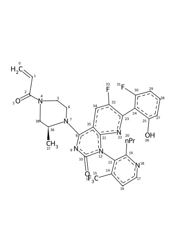 C=CC(=O)N1CCN(c2nc(=O)n(-c3c(C(F)(F)F)ccnc3CCC)c3nc(-c4c(O)cccc4F)c(F)cc23)[C@@H](C)C1